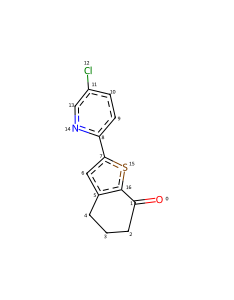 O=C1CCCc2cc(-c3ccc(Cl)cn3)sc21